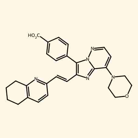 O=C(O)c1ccc(-c2c(/C=C/c3ccc4c(n3)CCCC4)nc3c(N4CCOCC4)ccnn23)cc1